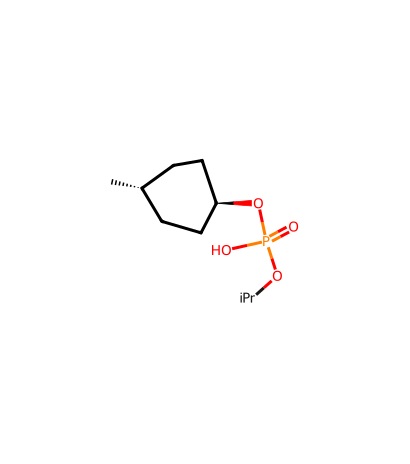 CC(C)OP(=O)(O)O[C@H]1CC[C@H](C)CC1